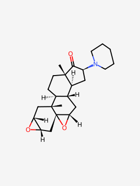 C[C@]12CC[C@H]3[C@@H](C[C@@H]4O[C@@]45C[C@@H]4O[C@@H]4C[C@]35C)[C@@H]1C[C@H](N1CCCCC1)C2=O